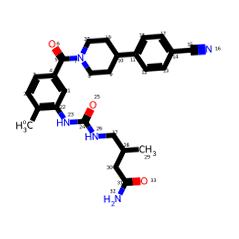 Cc1ccc(C(=O)N2CCC(c3ccc(C#N)cc3)CC2)cc1NC(=O)NCC(C)CC(N)=O